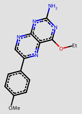 CCOc1nc(N)nc2ncc(-c3ccc(OC)cc3)nc12